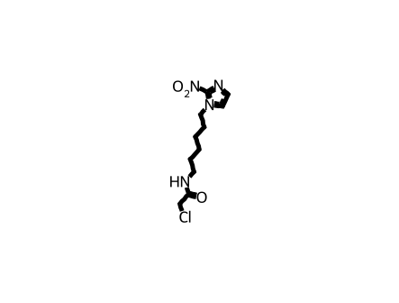 O=C(CCl)NCCCCCCn1ccnc1[N+](=O)[O-]